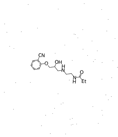 CCC(=O)NCCNCC(O)COc1ccccc1C#N